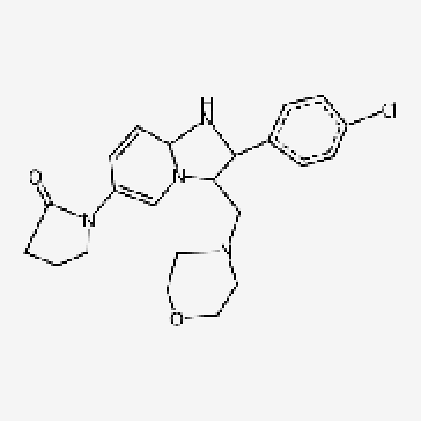 O=C1CCCN1C1=CN2C(C=C1)NC(c1ccc(Cl)cc1)C2CN1CCOCC1